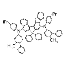 CC1=C(c2ccccc2)CC=C(N(c2ccc(C(C)C)cc2)c2cc3c(c4ccccc24)-c2c(cc(N(c4ccc(C(C)C)cc4)c4ccc(C)c(-c5ccccc5)c4)c4c2Cc2ccccc2-4)C3(c2ccccc2)c2ccccc2)C=C1